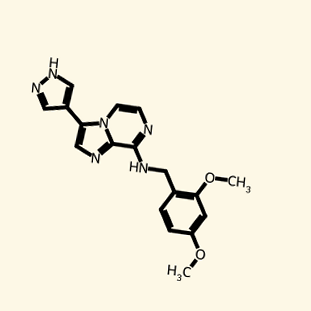 COc1ccc(CNc2nccn3c(-c4cn[nH]c4)cnc23)c(OC)c1